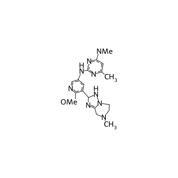 CNc1cc(C)nc(Nc2cnc(OC)c(C3N=C4CN(C)CCN4N3)c2)n1